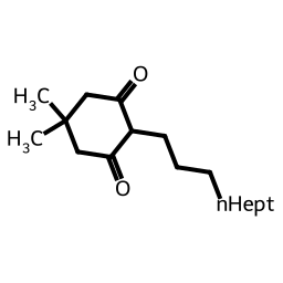 CCCCCCCCCCC1C(=O)CC(C)(C)CC1=O